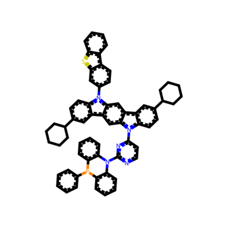 c1ccc(P2c3ccccc3N(c3nccc(-n4c5ccc(C6CCCCC6)cc5c5cc6c(cc54)c4cc(C5CCCCC5)ccc4n6-c4ccc5c(c4)sc4ccccc45)n3)c3ccccc32)cc1